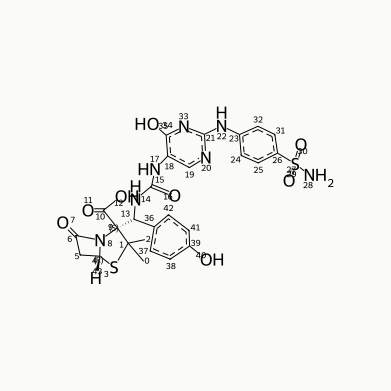 CC1(C)S[C@@H]2CC(=O)N2[C@]1(C(=O)O)C(NC(=O)Nc1cnc(Nc2ccc(S(N)(=O)=O)cc2)nc1O)c1ccc(O)cc1